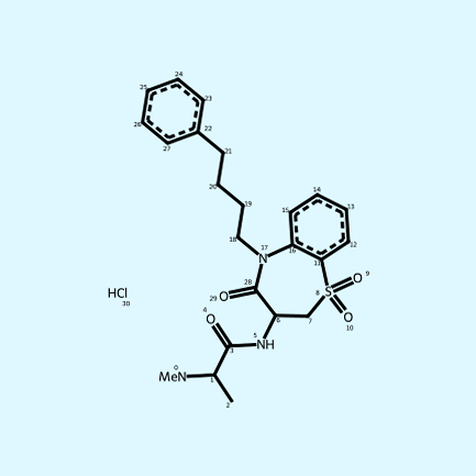 CNC(C)C(=O)NC1CS(=O)(=O)c2ccccc2N(CCCCc2ccccc2)C1=O.Cl